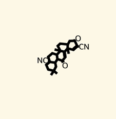 CC1(C)CCC2(C#N)CCC3C(C(=O)C=C4C5(C)C=C(C#N)C(=O)CC5CCC43C)C2C1